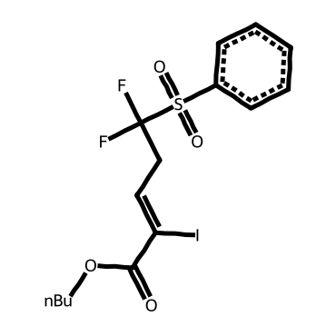 CCCCOC(=O)C(I)=CCC(F)(F)S(=O)(=O)c1ccccc1